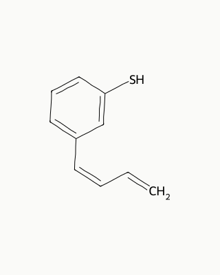 C=C/C=C\c1cccc(S)c1